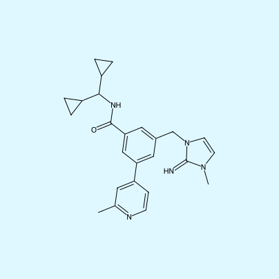 Cc1cc(-c2cc(Cn3ccn(C)c3=N)cc(C(=O)NC(C3CC3)C3CC3)c2)ccn1